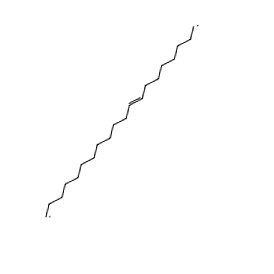 [CH2]CCCCCC/C=C/CCCCCCCCCC[CH2]